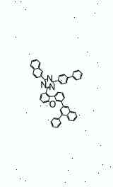 c1ccc(-c2ccc(-c3nc(-c4ccc5ccccc5c4)nc(-c4cccc5oc6c(-c7cc(-c8ccccc8)c8ccccc8c7)cccc6c45)n3)cc2)cc1